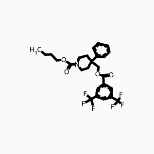 CCCCOC(=O)N1CCC(COC(=O)c2cc(C(F)(F)F)cc(C(F)(F)F)c2)(c2ccccc2)CC1